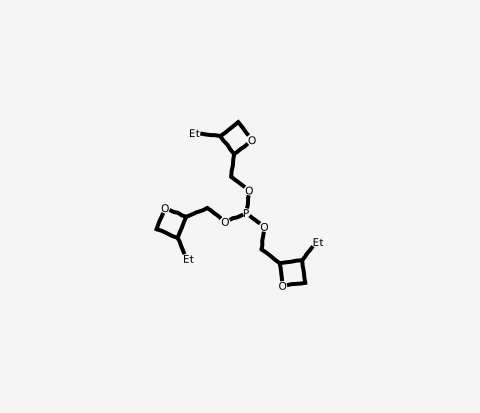 CCC1COC1COP(OCC1OCC1CC)OCC1OCC1CC